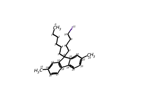 CCCCCCC1(CCCCI)c2cc(C)ccc2-c2ccc(C)cc21